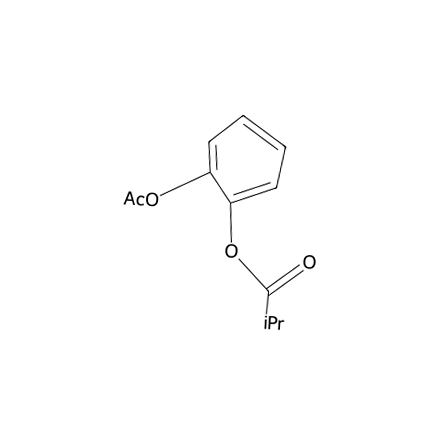 CC(=O)Oc1ccccc1OC(=O)C(C)C